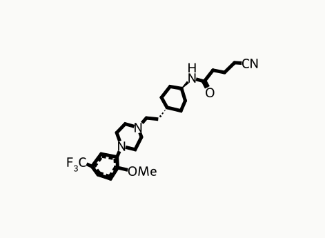 COc1ccc(C(F)(F)F)cc1N1CCN(CC[C@H]2CC[C@H](NC(=O)CCCC#N)CC2)CC1